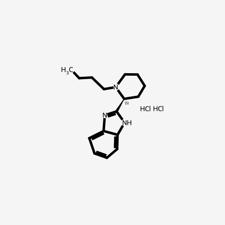 CCCCN1CCCC[C@H]1c1nc2ccccc2[nH]1.Cl.Cl